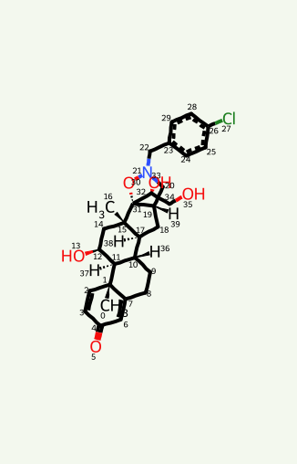 C[C@]12C=CC(=O)C=C1CC[C@@H]1[C@@H]2[C@@H](O)C[C@@]2(C)[C@H]1C[C@H]1CN(Cc3ccc(Cl)cc3)O[C@]12[C@@H](O)CO